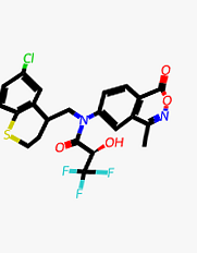 Cc1noc(=O)c2ccc(N(CC3CCSc4ccc(Cl)cc43)C(=O)[C@@H](O)C(F)(F)F)cc12